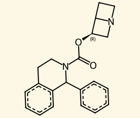 O=C(O[C@@H]1CN2CCC12)N1CCc2ccccc2C1c1ccccc1